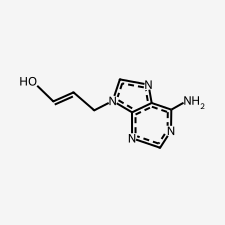 Nc1ncnc2c1ncn2CC=CO